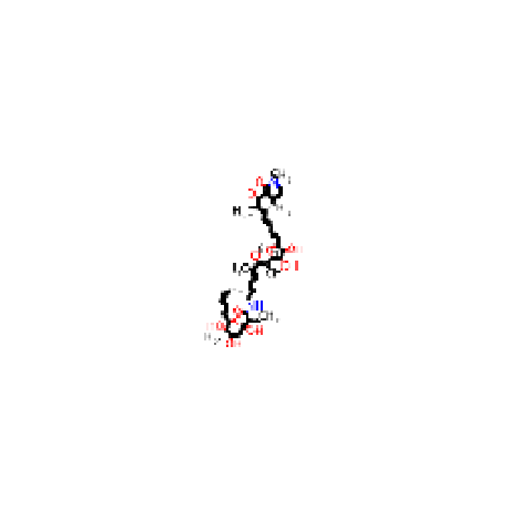 C/C=C\C=C\C1OC(O)(C(CC)C(=O)NC/C=C/C=C(\C)[C@@H](OC)C(C)C2OC(/C=C/C=C/C=C(\C)C(=O)c3c(C)ccn(C)c3=O)C(O)C2O)CC(O)C1(C)O